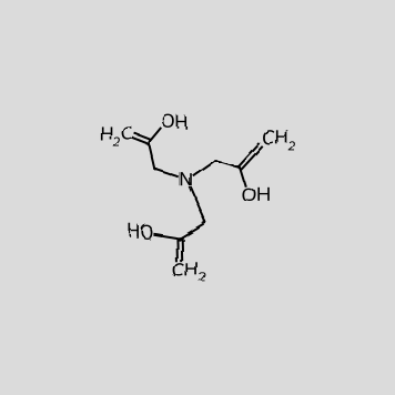 C=C(O)CN(CC(=C)O)CC(=C)O